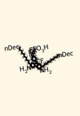 CCCCCCCCCCCCCCCCCCCCc1cc(C(c2ccc(OC(F)(F)C(F)(F)S(=O)(=O)O)cc2)(c2ccc(N)c(CCCCCCCCCCCCCCCCCCCC)c2)C(F)(F)F)ccc1N